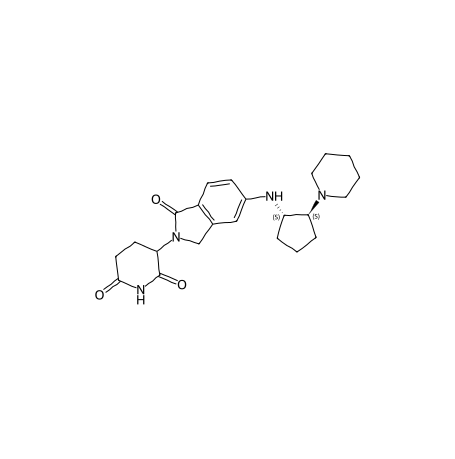 O=C1CCC(N2Cc3cc(N[C@H]4CCC[C@@H]4N4CCCCC4)ccc3C2=O)C(=O)N1